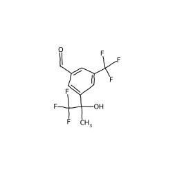 CC(O)(c1cc(C=O)cc(C(F)(F)F)c1)C(F)(F)F